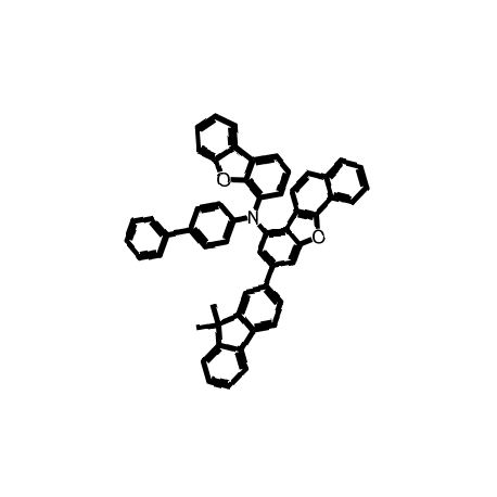 CC1(C)c2ccccc2-c2ccc(-c3cc(N(c4ccc(-c5ccccc5)cc4)c4cccc5c4oc4ccccc45)c4c(c3)oc3c5ccccc5ccc34)cc21